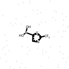 OB(O)c1cnc(C(F)(F)F)s1